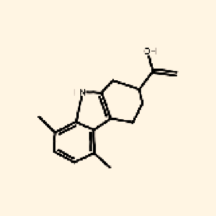 C=C(O)C1CCc2c([nH]c3c(C)ccc(C)c23)C1